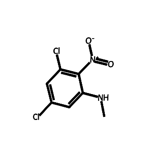 CNc1cc(Cl)cc(Cl)c1[N+](=O)[O-]